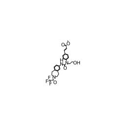 COC(=O)C=Cc1ccc(N(CCO)C(=O)Nc2ccc3c(c2)CCN(C(=O)C(F)(F)F)CC3)cc1